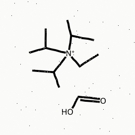 CC[N+](C(C)C)(C(C)C)C(C)C.O=CO